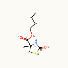 CCCCOC(=O)[C@@]1(C)CSC(=O)N1